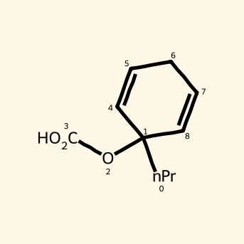 CCCC1(OC(=O)O)C=CCC=C1